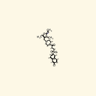 C/N=c1\sc(C)c(CN2CCN(C(=O)CCS(=O)(=O)c3ccc4cc(Cl)ccc4c3)CC2)n1C